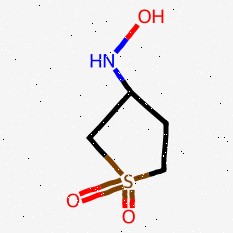 O=S1(=O)CCC(NO)C1